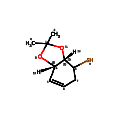 CC1(C)O[C@H]2C=CCC(S)[C@H]2O1